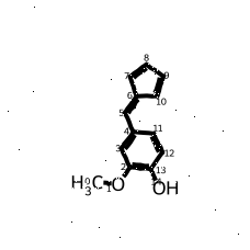 COc1cc(C=C2C=CC=C2)ccc1O